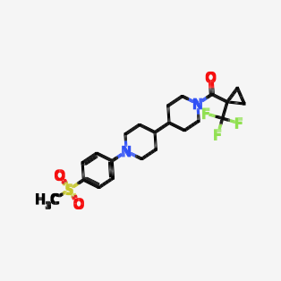 CS(=O)(=O)c1ccc(N2CCC(C3CCN(C(=O)C4(C(F)(F)F)CC4)CC3)CC2)cc1